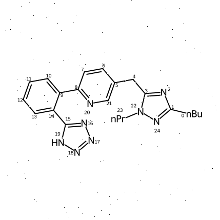 CCCCc1nc(Cc2ccc(-c3ccccc3-c3nnn[nH]3)nc2)n(CCC)n1